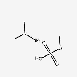 CC(C)N(C)C.COS(=O)(=O)O